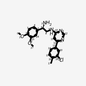 COc1ccc([C@@H](N)CNc2cc(-c3ccc(C)c(Cl)c3)ncn2)cc1OC